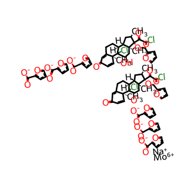 C[C@@H]1C[C@H]2[C@@H]3CCC4=CC(=O)C=C[C@]4(C)C3(Cl)[C@@H](O)C[C@]2(C)[C@@]1(OC(=O)c1ccco1)C(=O)CCl.C[C@@H]1C[C@H]2[C@@H]3CCC4=CC(=O)C=C[C@]4(C)C3(Cl)[C@@H]([O-])C[C@]2(C)[C@@]1(OC(=O)c1ccco1)C(=O)CCl.O=C([O-])c1ccco1.O=C([O-])c1ccco1.O=C([O-])c1ccco1.O=C([O-])c1ccco1.O=C([O-])c1ccco1.O=C([O-])c1ccco1.[Mo+6].[Na+]